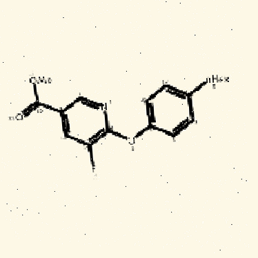 CCCCCCc1ccc(Oc2ncc(C(=O)OC)cc2F)cc1